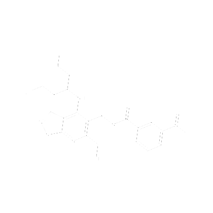 CCCC(CCC)Nc1c(CNC(=O)c2cccc([N+](=O)[O-])c2)c(CC)nc2[nH]ncc12